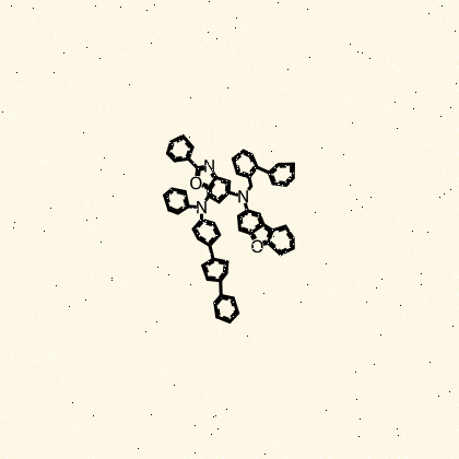 c1ccc(-c2ccc(-c3ccc(N(c4ccccc4)c4cc(N(Cc5ccccc5-c5ccccc5)c5ccc6oc7ccccc7c6c5)cc5nc(-c6ccccc6)oc45)cc3)cc2)cc1